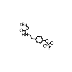 CC(C)(C)OC(=O)NCCc1ccc(OS(=O)(=O)F)cc1